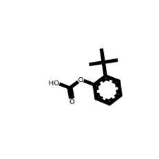 CC(C)(C)c1ccccc1OC(=O)O